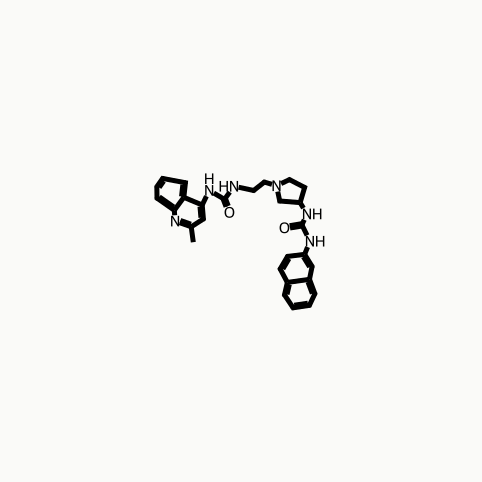 Cc1cc(NC(=O)NCCN2CCC(NC(=O)Nc3ccc4ccccc4c3)C2)c2ccccc2n1